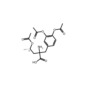 CC(=O)Oc1ccc(CC(N)(C[C@H](C)OC(C)=O)C(=O)O)cc1OC(C)=O